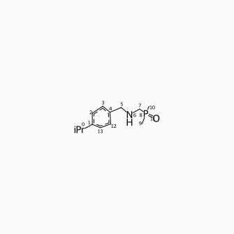 CC(C)c1ccc(CNCP(C)(C)=O)cc1